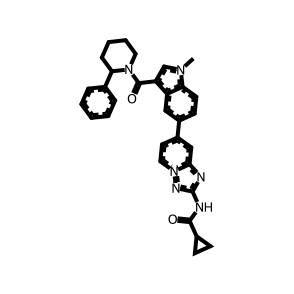 Cn1cc(C(=O)N2CCCCC2c2ccccc2)c2cc(-c3ccn4nc(NC(=O)C5CC5)nc4c3)ccc21